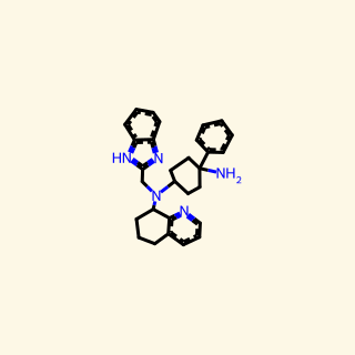 NC1(c2ccccc2)CCC(N(Cc2nc3ccccc3[nH]2)C2CCCc3cccnc32)CC1